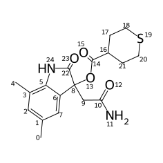 Cc1cc(C)c2c(c1)C(CC(N)=O)(OC(=O)C1CCSCC1)C(=O)N2